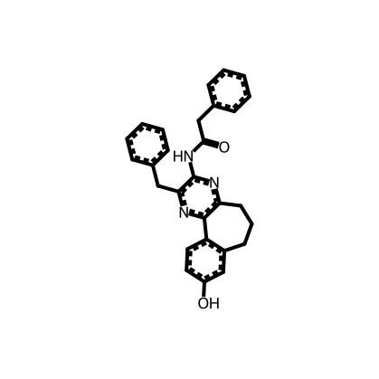 O=C(Cc1ccccc1)Nc1nc2c(nc1Cc1ccccc1)-c1ccc(O)cc1CCC2